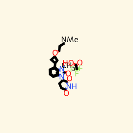 CNCCCOC1CC(c2cccc3c2n(C)c(=O)n3C2CCC(=O)NC2=O)C1.O=C(O)C(F)(F)F